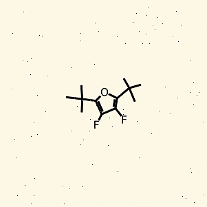 CC(C)(C)c1oc(C(C)(C)C)c(F)c1F